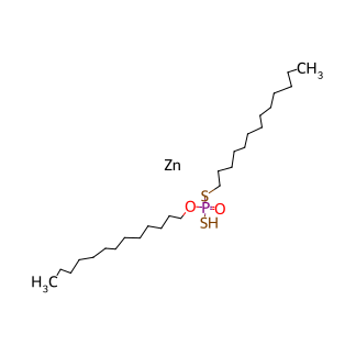 CCCCCCCCCCCCCOP(=O)(S)SCCCCCCCCCCCCC.[Zn]